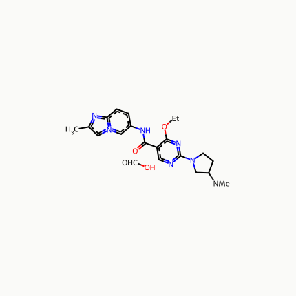 CCOc1nc(N2CCC(NC)C2)ncc1C(=O)Nc1ccc2nc(C)cn2c1.O=CO